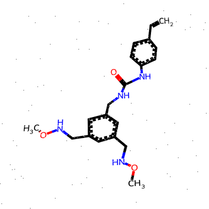 C=Cc1ccc(NC(=O)NCc2cc(CNOC)cc(CNOC)c2)cc1